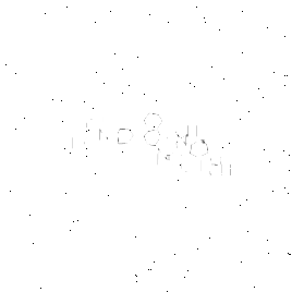 CCN(CC)c1ccc(-c2cc3c(c4ccccc24)OC2(C=N3)N(C)c3ccc(OC)cc3C2(C)C)cc1